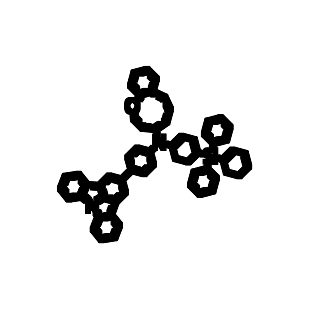 C1=CCCC([Si](C2=CC=C(N(c3cccc4ccccc4occ3)c3ccc(-c4cc5c6ccccc6n6c7ccccc7c(c4)c56)cc3)CC2)(c2ccccc2)c2ccccc2)=C1